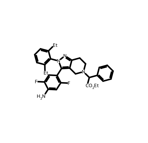 CCOC(=O)C(c1ccccc1)N1CCc2nn(-c3c(CC)cccc3CC)c(-c3cc(F)c(N)cc3F)c2C1